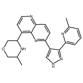 Cc1cccc(-c2n[nH]cc2-c2ccc3nccc(C4COCC(C)N4)c3n2)n1